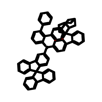 c1ccc(-c2cccc(N(c3ccc4c(c3)-c3ccccc3C43c4ccccc4-c4ccccc43)c3ccc4c(c3)C3(c5ccccc5-4)C4CC5CC(C4)C3C5)c2-c2ccccc2)cc1